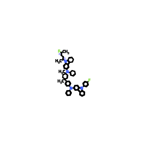 C/C(F)=C\C=C(/C)n1c2c(c3cc(N(C4=CC=CCC4)C4(C)C=CC(C)(c5ccc(N(c6ccccc6)c6ccc7c(c6)c6ccccc6n7-c6ccc(F)cc6)cc5)CC4)ccc31)CCC=C2